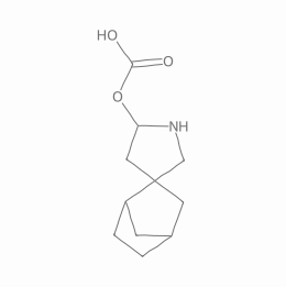 O=C(O)OC1CC2(CN1)CC1CCC2C1